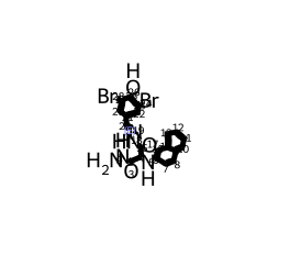 NNC(=O)C(Nc1ccc2ccccc2c1)C(=O)N/N=C/c1cc(Br)c(O)c(Br)c1